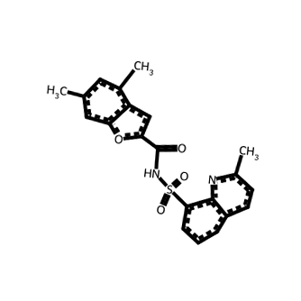 Cc1cc(C)c2cc(C(=O)NS(=O)(=O)c3cccc4ccc(C)nc34)oc2c1